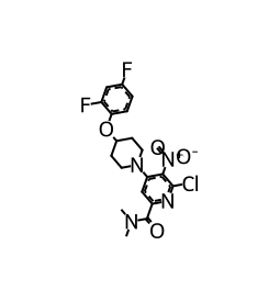 CN(C)C(=O)c1cc(N2CCC(Oc3ccc(F)cc3F)CC2)c([N+](=O)[O-])c(Cl)n1